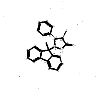 C[C@H]1C(=O)NN(C2(C)c3ccccc3-c3ccccc32)[C@@H]1c1ccccc1